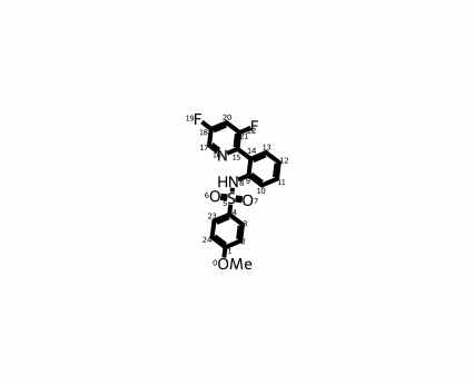 COc1ccc(S(=O)(=O)Nc2ccccc2-c2ncc(F)cc2F)cc1